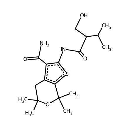 CC(C)C(CO)C(=O)Nc1sc2c(c1C(N)=O)CC(C)(C)OC2(C)C